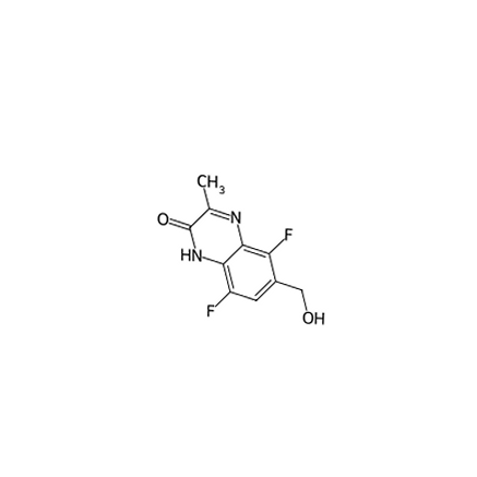 Cc1nc2c(F)c(CO)cc(F)c2[nH]c1=O